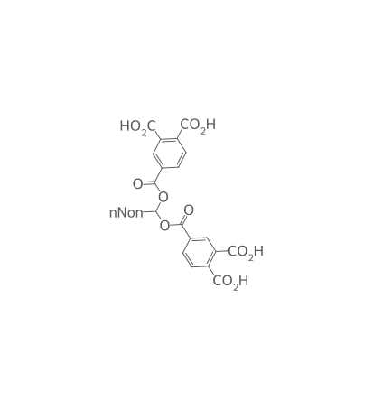 CCCCCCCCCC(OC(=O)c1ccc(C(=O)O)c(C(=O)O)c1)OC(=O)c1ccc(C(=O)O)c(C(=O)O)c1